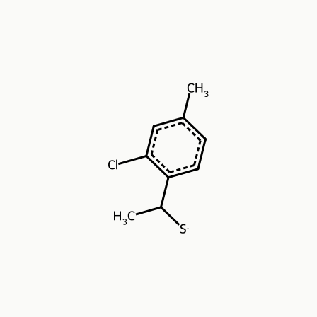 Cc1ccc(C(C)[S])c(Cl)c1